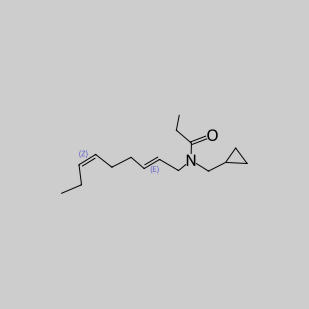 CC/C=C\CC/C=C/CN(CC1CC1)C(=O)CC